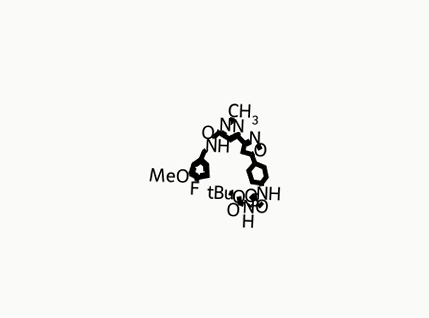 COc1cc(CNC(=O)c2cc(C3=NOC(C4CCC(NS(=O)(=O)NC(=O)OC(C)(C)C)CC4)C3)nc(C)n2)ccc1F